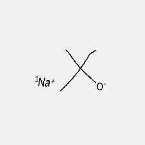 CC(C)(C)[O-].[1Na+]